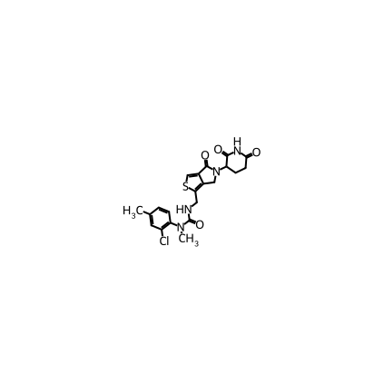 Cc1ccc(N(C)C(=O)NCc2scc3c2CN(C2CCC(=O)NC2=O)C3=O)c(Cl)c1